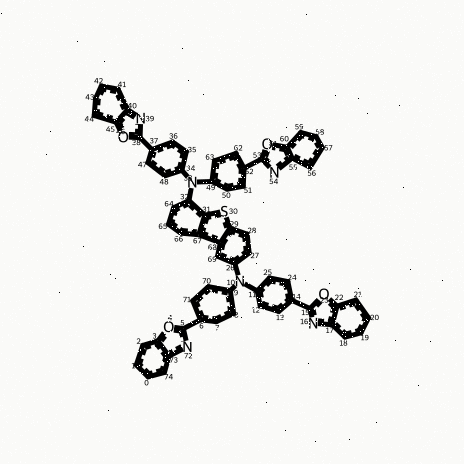 c1ccc2oc(-c3ccc(N(c4ccc(-c5nc6ccccc6o5)cc4)c4ccc5sc6c(N(c7ccc(-c8nc9ccccc9o8)cc7)c7ccc(-c8nc9ccccc9o8)cc7)cccc6c5c4)cc3)nc2c1